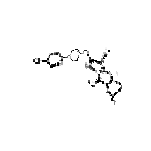 N#Cc1c(OC2CCN(c3ccc(Cl)cn3)CC2)nn2c(=O)c3cc(Cl)ccc3[nH]c12